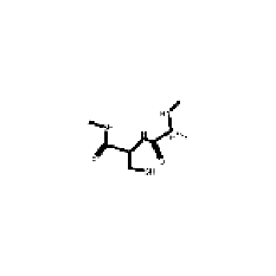 CNC(=O)C(CS)NC(=O)[C@@H](C)NC